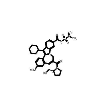 COc1ccc2c(c1)C=C(C(=O)N1CCC[C@H]1CO)Cn1c-2c(C2CCCCC2)c2ccc(C(=O)NS(=O)(=O)N(C)C)cc21